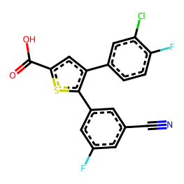 N#Cc1cc(F)cc(-c2sc(C(=O)O)cc2-c2ccc(F)c(Cl)c2)c1